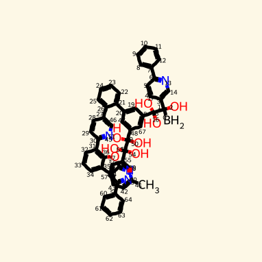 BC(O)(c1ccc(-c2ccccc2)nc1)C(O)(O)c1cc(-c2ccccc2-c2ccc(-c3cccc4c3oc3nc(C)ccc34)nc2)cc(C(O)(O)C(O)(O)c2ccc(-c3ccccc3)nc2)c1